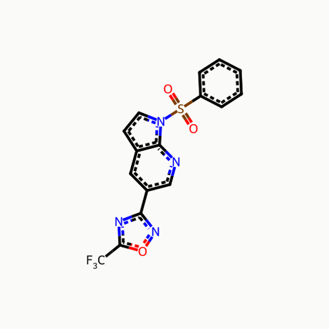 O=S(=O)(c1ccccc1)n1ccc2cc(-c3noc(C(F)(F)F)n3)cnc21